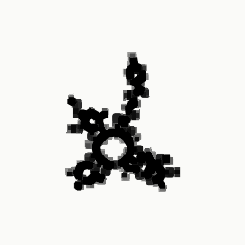 CON=C1C[C@@H](C)O[C@@H](O[C@@H]2[C@@H](C)[C@H](O[C@H]3C[C@@H](C)N(C)CC(C)O3)[C@@H](C)C(=O)OC([C@@H](C)CO[C@@H]3O[C@H](C)[C@@H](O)[C@@H](OC)[C@H]3OC)[C@H](C)[C@@H](OC(=O)CC(C)C)[C@@H](C)C(=O)[C@@](C)(OC(=O)NCCNC(=O)c3cnc(C)cn3)C[C@@H]2C)[C@@H]1O